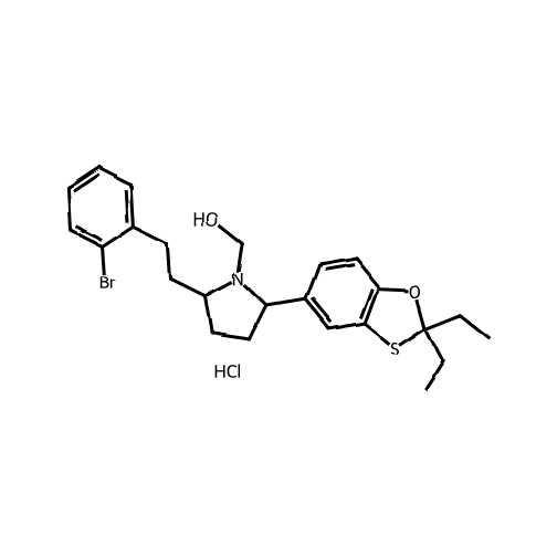 CCC1(CC)Oc2ccc(C3CCC(CCc4ccccc4Br)N3CO)cc2S1.Cl